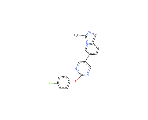 Fc1ccc(Oc2ncc(-c3ccc4cnc(C(F)(F)F)n4c3)cn2)cc1